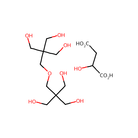 O=C(O)CC(O)C(=O)O.OCC(CO)(CO)COCC(CO)(CO)CO